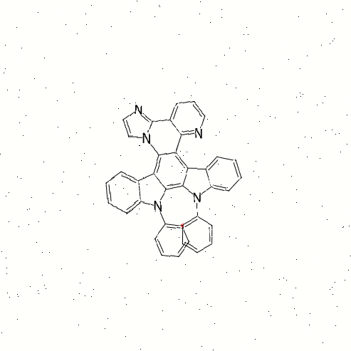 c1ccc(-n2c3ccccc3c3c4c5ncccc5c5nccn5c4c4c5ccccc5n(-c5ccccc5)c4c32)cc1